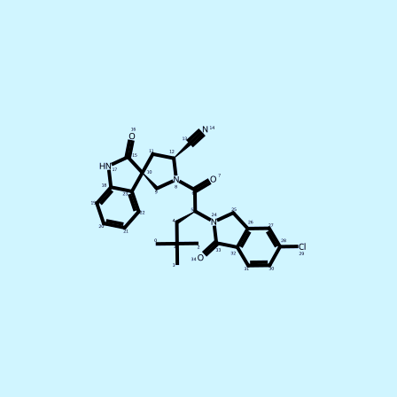 CC(C)(C)C[C@@H](C(=O)N1C[C@]2(C[C@H]1C#N)C(=O)Nc1ccccc12)N1Cc2cc(Cl)ccc2C1=O